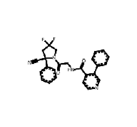 N#CC1(c2ccccc2)CC(F)(F)CN1C(=O)CNC(=O)c1ccncc1-c1ccccc1